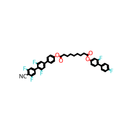 N#Cc1c(F)cc(-c2c(F)cc(-c3ccc(OC(=O)CCCCCCCC(=O)Oc4ccc(-c5ccc(F)cc5)c(F)c4)cc3)cc2F)cc1F